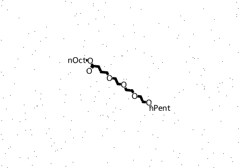 CCCCCCCCOC(=O)CCCOCCOCCOCCOCCCCC